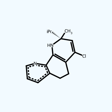 CC(C)[C@]1(C)C=C(Cl)C2=C(N1)c1ncccc1CC2